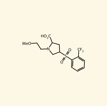 COCCN1CC(S(=O)(=O)c2ccccc2C(F)(F)F)CC1C(=O)O